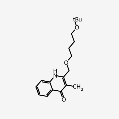 Cc1c(COCCCCOC(C)(C)C)[nH]c2ccccc2c1=O